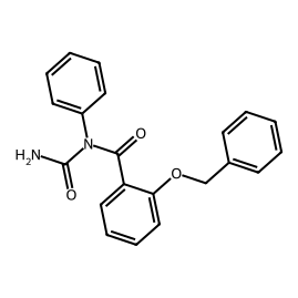 NC(=O)N(C(=O)c1ccccc1OCc1ccccc1)c1ccccc1